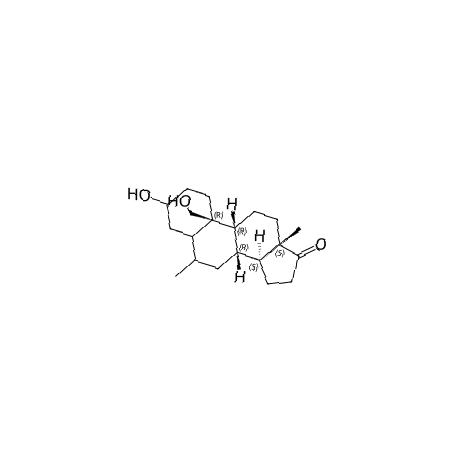 CC1C[C@@H]2[C@@H](CC[C@]3(C)C(=O)CC[C@@H]23)[C@@]2(CO)CCC(O)CC12